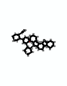 N#Cc1ccncc1-c1cccc(-c2ccccc2-n2c3ccccc3c3c4oc5ccccc5c4ccc32)c1